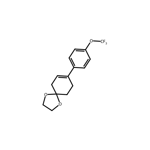 FC(F)(F)Oc1ccc(C2=CCC3(CC2)OCCO3)cc1